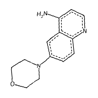 Nc1ccnc2ccc(N3CCOCC3)cc12